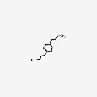 CC/C=C/c1ccc(CCCC)nc1